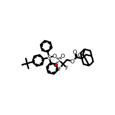 CC(C)(C)c1ccc(S(OS(=O)(=O)C(F)(F)COC(=O)C23CC4CC(C2)C(=O)C(C4)C3)(c2ccccc2)c2ccccc2)cc1